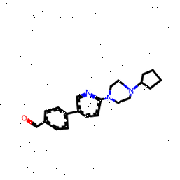 O=Cc1ccc(-c2ccc(N3CCN(C4CCCC4)CC3)nc2)cc1